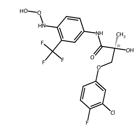 C[C@](O)(COc1ccc(F)c(Cl)c1)C(=O)Nc1ccc(NOO)c(C(F)(F)F)c1